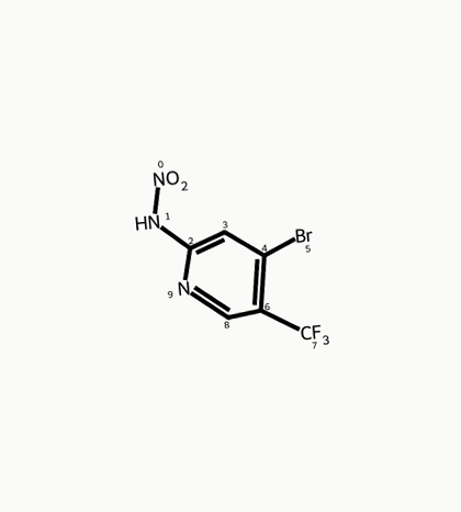 O=[N+]([O-])Nc1cc(Br)c(C(F)(F)F)cn1